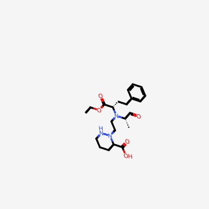 CCOC(=O)[C@H](CCc1ccccc1)N(CCN1NCCCC1C(=O)O)[C@@H](C)C=O